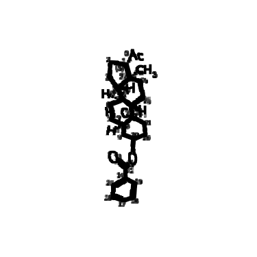 CC(=O)[C@H]1CC[C@H]2[C@@H]3CC[C@@H]4CC(OC(=O)c5ccccc5)CC[C@]4(C)[C@H]3CC[C@]12C